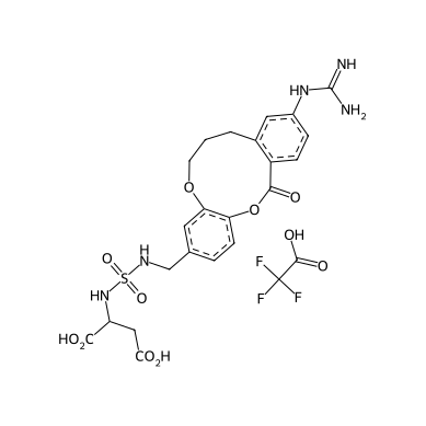 N=C(N)Nc1ccc2c(c1)CCCOc1cc(CNS(=O)(=O)NC(CC(=O)O)C(=O)O)ccc1OC2=O.O=C(O)C(F)(F)F